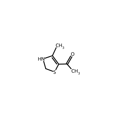 CC(=O)C1=C(C)NCS1